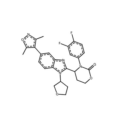 Cc1noc(C)c1-c1ccc2c(c1)nc(C1CCOC(=O)N1c1ccc(F)c(F)c1)n2C1CCOC1